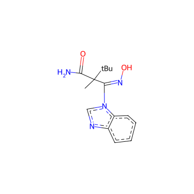 CC(C)(C)C(C)(C(N)=O)C(=NO)n1cnc2ccccc21